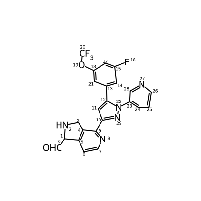 O=CC1NCc2c1ccnc2-c1cc(-c2cc(F)cc(OC(F)(F)F)c2)n(-c2cccnc2)n1